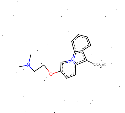 CCOC(=O)c1c2ccccc2n2cc(OCCN(C)C)ccc12